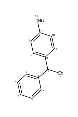 CCC(c1ccccc1)c1ccc(C(C)(C)C)cc1